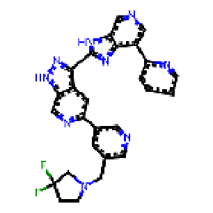 FC1(F)CCN(Cc2cncc(-c3cc4c(-c5nc6c(-c7ccccn7)cncc6[nH]5)n[nH]c4cn3)c2)C1